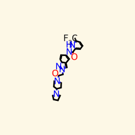 O=C(Nc1ccc2nn(CC(=O)N3CCC(N4CCCC4)CC3)cc2c1)c1cccc(C(F)(F)F)n1